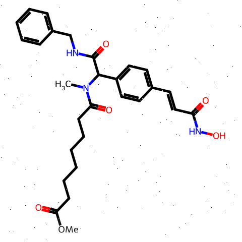 COC(=O)CCCCCCC(=O)N(C)C(C(=O)NCc1ccccc1)c1ccc(/C=C/C(=O)NO)cc1